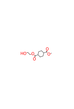 COC(=O)C1CCC(C(=O)OCCO)CC1